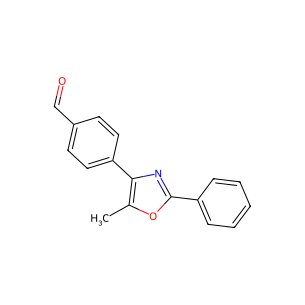 Cc1oc(-c2ccccc2)nc1-c1ccc(C=O)cc1